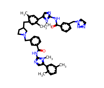 Cc1ccc(C)c(-c2cnc(NC(=O)c3cccc(CN4CCC(Cc5cc(C)c(-c6cnc(NC(=O)c7cccc(Cn8ccnn8)c7)n6C)cc5C)C4)c3)n2C)c1